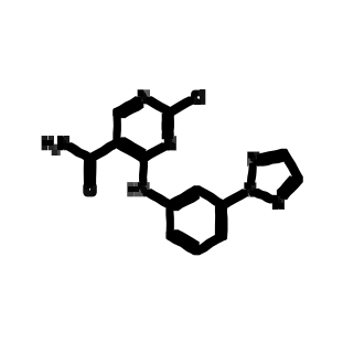 NC(=O)c1cnc(Cl)nc1Nc1cccc(-n2nccn2)c1